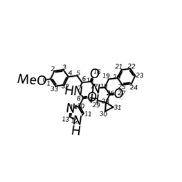 COc1ccc(CC(NC(=O)c2c[nH]cn2)C(=O)NC(Cc2ccccc2)C(=O)C2(C)CC2)cc1